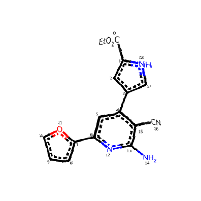 CCOC(=O)c1cc(-c2cc(-c3ccco3)nc(N)c2C#N)c[nH]1